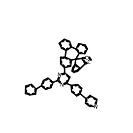 c1ccc(-c2ccc(-c3nc(-c4ccc(-c5ccncc5)cc4)cc(-c4ccc5c(c4)C4(c6ccccc6-c6ccccc6-5)c5ccccc5-c5ccccc54)n3)cc2)cc1